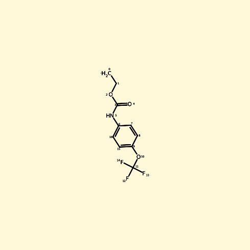 [CH2]COC(=O)Nc1ccc(OC(F)(F)F)cc1